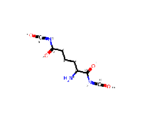 NC(CCCC(=O)N=C=O)C(=O)N=C=O